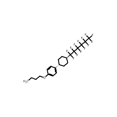 CCCCOc1ccc([C@H]2CC[C@H](C(F)(F)C(F)(F)C(F)(F)C(F)(F)C(F)(F)C(F)(F)F)CC2)cc1